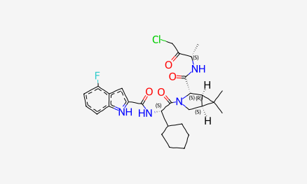 C[C@H](NC(=O)[C@@H]1[C@@H]2[C@H](CN1C(=O)[C@@H](NC(=O)c1cc3c(F)cccc3[nH]1)C1CCCCC1)C2(C)C)C(=O)CCl